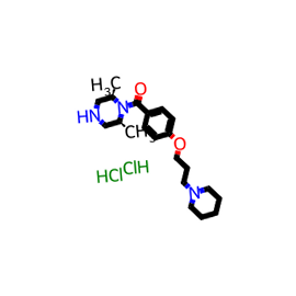 C[C@@H]1CNC[C@H](C)N1C(=O)c1ccc(OCCCN2CCCCC2)cc1.Cl.Cl